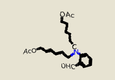 CC(=O)OCCCCCCN(CCCCCCOC(C)=O)c1ccccc1C=O